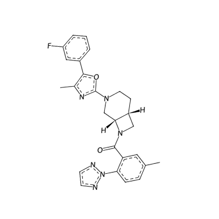 Cc1ccc(-n2nccn2)c(C(=O)N2C[C@H]3CCN(c4nc(C)c(-c5cccc(F)c5)o4)C[C@H]32)c1